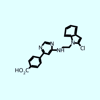 O=C(O)c1ccc(-c2cc(NCCn3c(Cl)cc4ccccc43)ncn2)cc1